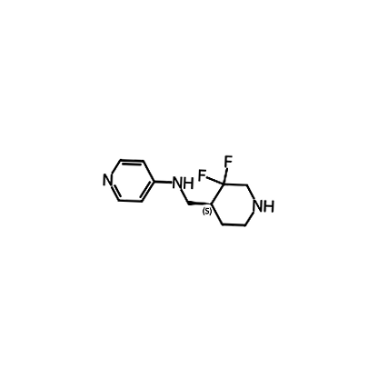 FC1(F)CNCC[C@H]1CNc1ccncc1